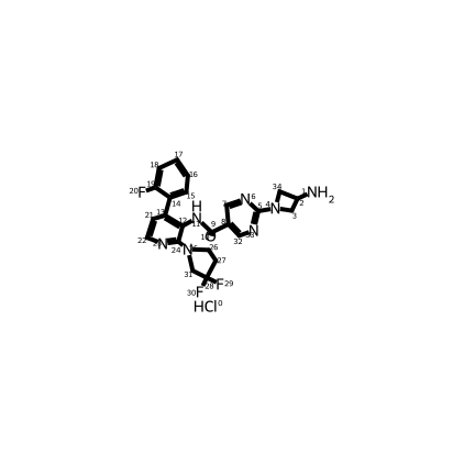 Cl.NC1CN(c2ncc(C(=O)Nc3c(-c4ccccc4F)ccnc3N3CCC(F)(F)C3)cn2)C1